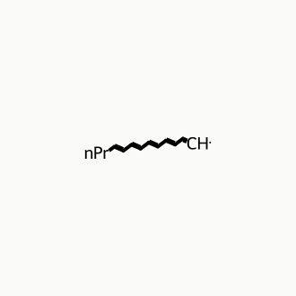 [CH]=CC=CC=CC=CC=CCCC